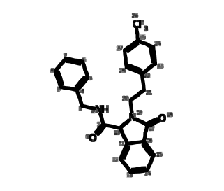 O=C(NCc1ccccc1)C1c2ccccc2C(=O)N1CCc1ccc(C(F)(F)F)cc1